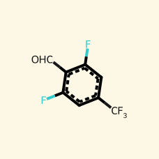 O=Cc1c(F)cc(C(F)(F)F)cc1F